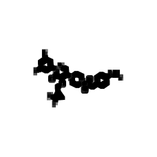 Nc1ccc(CS(=O)(=O)N2CCN(c3cnn(-c4cc(F)cc(F)c4)c(=O)c3OCC3CC3(F)F)CC2)cc1